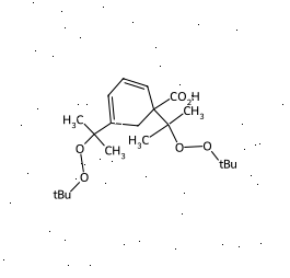 CC(C)(C)OOC(C)(C)C1=CC=CC(C(=O)O)(C(C)(C)OOC(C)(C)C)C1